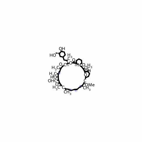 CO[C@H]1CC2CC[C@@H](C)[C@@](O)(O2)C(=O)C(=O)N2CCCC[C@H]2C(=O)O[C@H](C(C)CC2CC[C@@H](O)[C@H](CO)C2)CC(=O)[C@H](C)/C=C(\C)[C@@H](O)C(C=O)C(=O)[C@H](C)CC(C)/C=C/C=C/C=C/1C